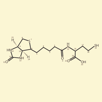 O=C(CCCCC1SC[C@@H]2NC(=O)N[C@H]12)NC(CCS)C(=O)O